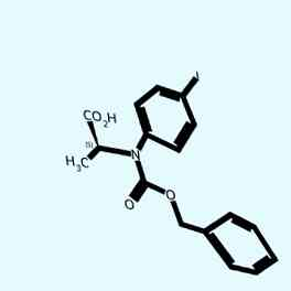 C[C@@H](C(=O)O)N(C(=O)OCc1ccccc1)c1ccc(I)cc1